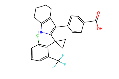 O=C(O)c1ccc(-c2c(C3(c4c(Cl)cccc4C(F)(F)F)CC3)[nH]c3c2CCCC3)cc1